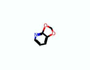 [c]1cnc2c(c1)OCO2